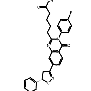 O=C(O)CCCCc1nc2cc(C3=NO[C@H](C4=CC=CCC4)C3)ccc2c(=O)n1-c1ccc(F)cc1